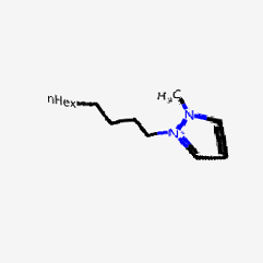 CCCCCCCCCC[n+]1cccn1C